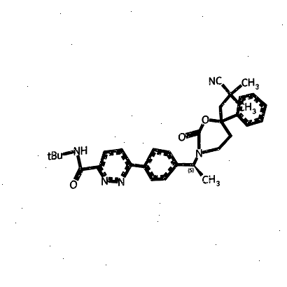 C[C@@H](c1ccc(-c2ccc(C(=O)NC(C)(C)C)nn2)cc1)N1CCC(CC(C)(C)C#N)(c2ccccc2)OC1=O